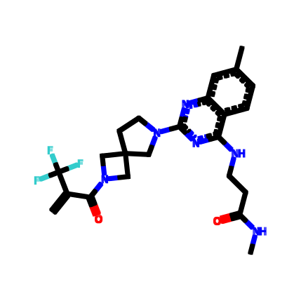 C=C(C(=O)N1CC2(CCN(c3nc(NCCC(=O)NC)c4ccc(C)cc4n3)C2)C1)C(F)(F)F